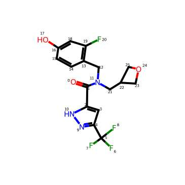 O=C(c1cc(C(F)(F)F)n[nH]1)N(Cc1ccc(O)cc1F)CC1COC1